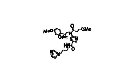 COCCC(=O)N(CC(OC(C)=O)c1ccc(OC)cc1)c1ncc(C(=O)NCCCn2ccnc2)s1